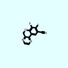 N#Cc1cc2c(c(F)c1I)OCc1nccnc1-2